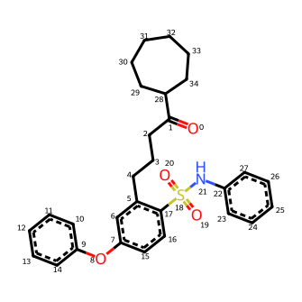 O=C(CCCc1cc(Oc2ccccc2)ccc1S(=O)(=O)Nc1ccccc1)C1CCCCCC1